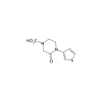 O=C(O)N1CCN(c2ccsc2)C(=O)C1